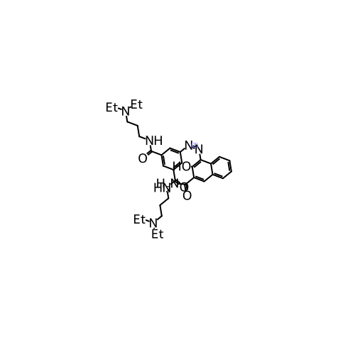 CCN(CC)CCCNC(=O)c1cc(/N=N\c2c(O)c(C(N)=O)cc3ccccc23)cc(C(=O)NCCCN(CC)CC)c1